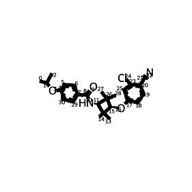 CC(C)Oc1ccc(C(=O)N[C@H]2C(C)(C)[C@H](Oc3ccc(C#N)c(Cl)c3)C2(C)C)cc1